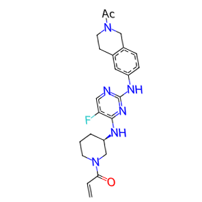 C=CC(=O)N1CCC[C@@H](Nc2nc(Nc3ccc4c(c3)CCN(C(C)=O)C4)ncc2F)C1